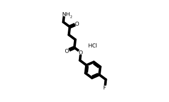 Cl.NCC(=O)CCC(=O)OCc1ccc(CF)cc1